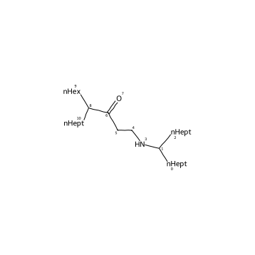 CCCCCCCC(CCCCCCC)NCCC(=O)C(CCCCCC)CCCCCCC